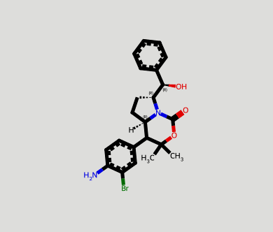 CC1(C)OC(=O)N2[C@H](CC[C@@H]2[C@H](O)c2ccccc2)C1c1ccc(N)c(Br)c1